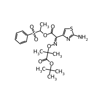 CC(OC(=O)C(=NOC(C)(C)C(=O)OC(C)(C)C)c1csc(N)n1)S(=O)(=O)c1ccccc1